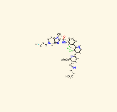 COc1nc(-c2ccnc(-c3cccc(NC(=O)c4nc5c(n4C)CCN(CCCF)C5)c3Cl)c2Cl)ccc1CNCCC(=O)O